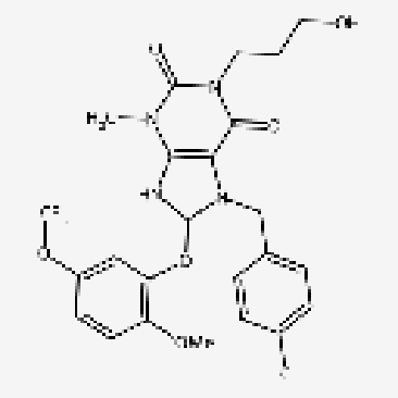 COc1ccc(OC(F)(F)F)cc1OC1Nc2c(c(=O)n(CCCO)c(=O)n2C)N1Cc1ccc(Cl)cc1